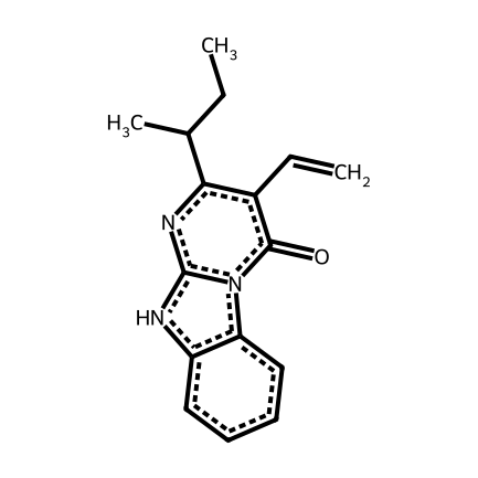 C=Cc1c(C(C)CC)nc2[nH]c3ccccc3n2c1=O